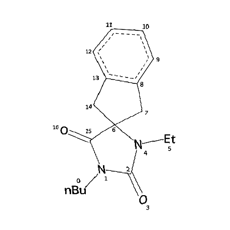 CCCCN1C(=O)N(CC)C2(Cc3ccccc3C2)C1=O